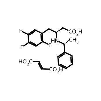 C[C@@H](N[C@H](CC(=O)O)Cc1cc(F)c(F)cc1F)c1ccccc1.O=C(O)C=CC(=O)O